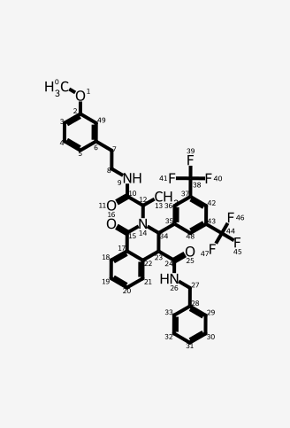 COc1cccc(CCNC(=O)C(C)N2C(=O)c3ccccc3C(C(=O)NCc3ccccc3)C2c2cc(C(F)(F)F)cc(C(F)(F)F)c2)c1